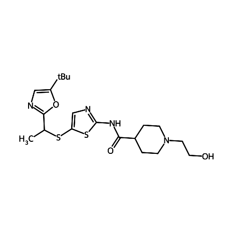 CC(Sc1cnc(NC(=O)C2CCN(CCO)CC2)s1)c1ncc(C(C)(C)C)o1